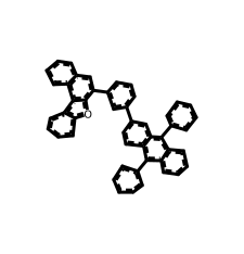 c1ccc(-c2c3ccccc3c(-c3ccccc3)c3cc(-c4cccc(-c5cc6ccccc6c6c5oc5ccccc56)c4)ccc23)cc1